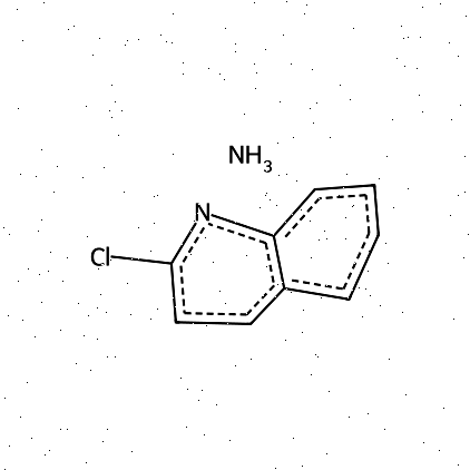 Clc1ccc2ccccc2n1.N